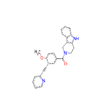 COc1ccc(C(=O)N2CCc3[nH]c4ccccc4c3C2)cc1C#Cc1ccccn1